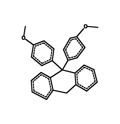 COc1ccc(C2(c3ccc(OC)cc3)c3ccccc3Cc3ccccc32)cc1